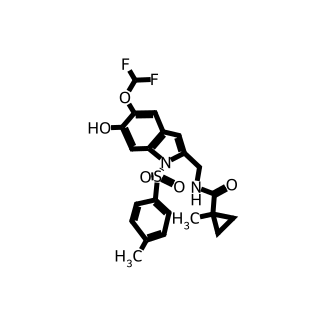 Cc1ccc(S(=O)(=O)n2c(CNC(=O)C3(C)CC3)cc3cc(OC(F)F)c(O)cc32)cc1